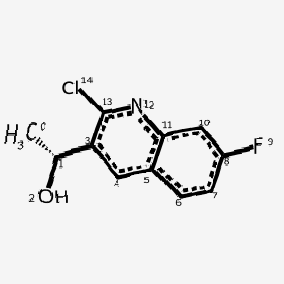 C[C@@H](O)c1cc2ccc(F)cc2nc1Cl